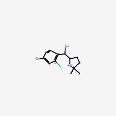 CC1(C)CCC(C(O)c2ccc(Cl)cc2Cl)N1